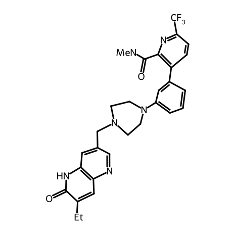 CCc1cc2ncc(CN3CCN(c4cccc(-c5ccc(C(F)(F)F)nc5C(=O)NC)c4)CC3)cc2[nH]c1=O